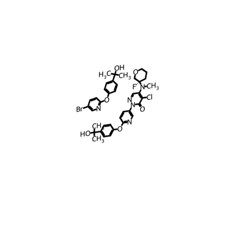 CC(C)(O)c1ccc(Oc2ccc(Br)cn2)cc1.CN(c1cnn(-c2ccc(Oc3ccc(C(C)(C)O)cc3)nc2)c(=O)c1Cl)[C@]1(F)CCCOC1